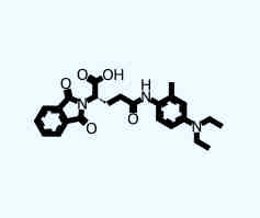 CCN(CC)c1ccc(NC(=O)CC[C@@H](C(=O)O)N2C(=O)c3ccccc3C2=O)c(C)c1